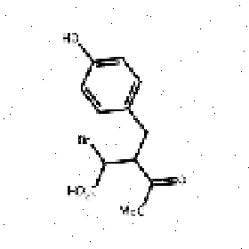 COC(=O)C(Cc1ccc(O)cc1)C(Br)C(=O)O